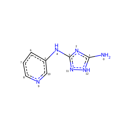 Nc1nc(Nc2cccnc2)n[nH]1